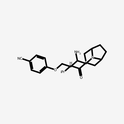 CC(C)NC(=O)N1CC2CCC(C1)N2CC(N)CCOc1ccc(C#N)cc1